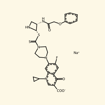 O=C(COc1ccccc1)N[C@H]1CN[C@H]1SC(=S)N1CCN(c2cc3c(cc2F)c(=O)c(C(=O)[O-])cn3C2CC2)CC1.[Na+]